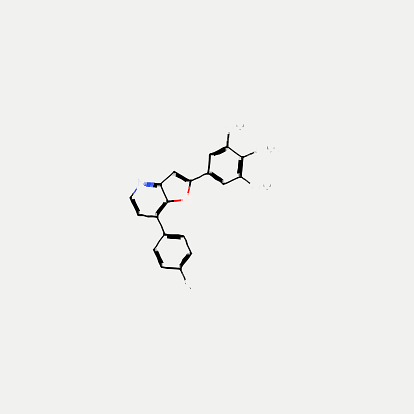 COc1cc(-c2cc3nccc(-c4ccc(N=O)cc4)c3o2)cc(OC)c1OC